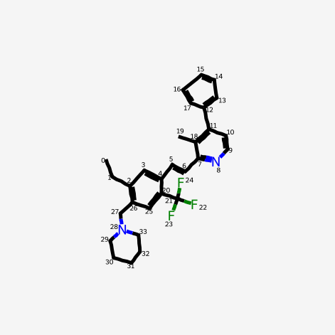 CCc1cc(/C=C/c2nccc(-c3ccccc3)c2C)c(C(F)(F)F)cc1CN1CCCCC1